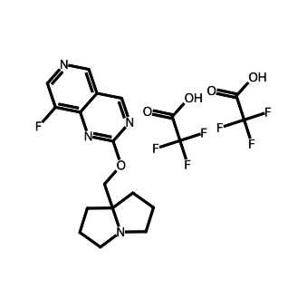 Fc1cncc2cnc(OCC34CCCN3CCC4)nc12.O=C(O)C(F)(F)F.O=C(O)C(F)(F)F